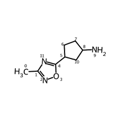 Cc1noc(C2CCC(N)C2)n1